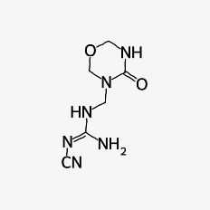 N#C/N=C(\N)NCN1COCNC1=O